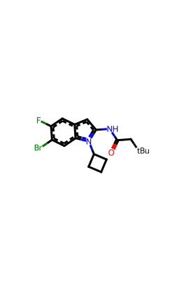 CC(C)(C)CC(=O)Nc1cc2cc(F)c(Br)cc2n1C1CCC1